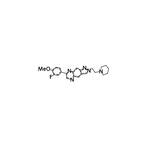 COc1ccc(-c2cnc3cc4cn(CCN5CCCCC5)nc4cc3n2)cc1F